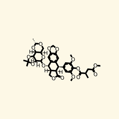 COC(=O)CC(C)C(=O)Oc1c(OC)cc([C@@H]2c3cc4c(cc3[C@@H](OC3O[C@@H]5CO[C@@H](C)O[C@H]5[C@@H]5OC(C)(C)O[C@@H]35)[C@H]3COC(=O)[C@H]23)OCO4)cc1OC